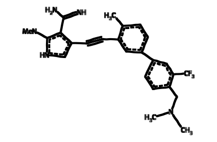 CNc1[nH]cc(C#Cc2cc(-c3ccc(CN(C)C)c(C(F)(F)F)c3)ccc2C)c1C(=N)N